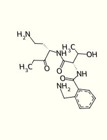 CCC(=O)[C@H](CCN)NC(=O)[C@@H](NC(=O)c1ccccc1CN)C(C)O